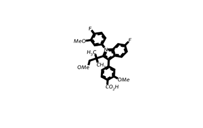 COCC(C)(C)c1c(-c2ccc(C(=O)O)c(OC)c2)c2ccc(F)cc2n1-c1ccc(F)c(OC)c1